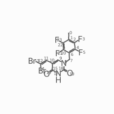 Cc1c(F)c(F)c(Cn2cc(C=C(Br)Br)c(=O)[nH]c2=O)c(F)c1F